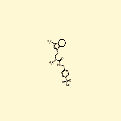 CC(CCn1nc(C(F)(F)F)c2c1CCCC2)C(=O)NCc1ccc(S(N)(=O)=O)cc1